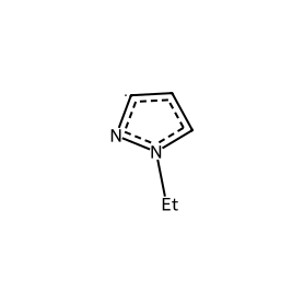 CCn1cc[c]n1